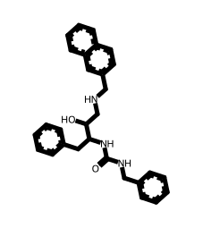 O=C(NCc1ccccc1)NC(Cc1ccccc1)C(O)CNCc1ccc2ccccc2c1